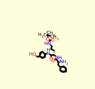 CC(C)(C)OC(=O)NCCC[C@H](NC(=O)[C@@H](N)Cc1ccccc1)C(=O)Nc1ccc(CO)cc1